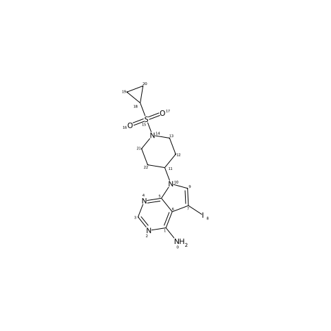 Nc1ncnc2c1c(I)cn2C1CCN(S(=O)(=O)C2CC2)CC1